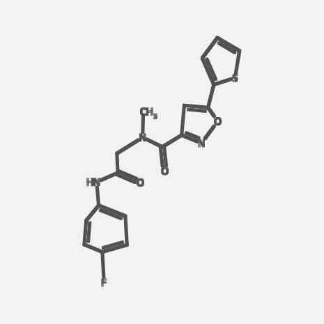 CN(CC(=O)Nc1ccc(F)cc1)C(=O)c1cc(-c2cccs2)on1